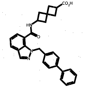 O=C(NC1CC2(C1)CC(C(=O)O)C2)c1cccc2cnn(Cc3ccc(-c4ccccc4)cc3)c12